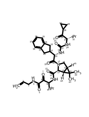 C=CCNC(=O)C(=O)C(CCC)NC(=O)[C@@H]1[C@@H]2[C@H](CN1C(=O)[C@@H](NC(=O)N[C@H](C(=O)C1CC1)C(C)C)C1Cc3ccccc3C1)C2(C)C